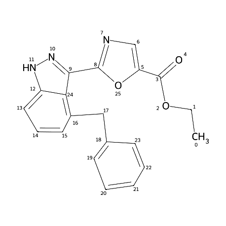 CCOC(=O)c1cnc(-c2n[nH]c3cccc(Cc4ccccc4)c23)o1